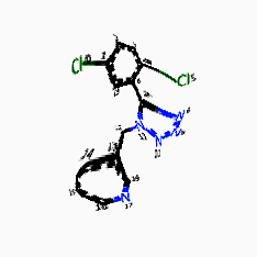 Clc1ccc(Cl)c(-c2nnnn2Cc2cccnc2)c1